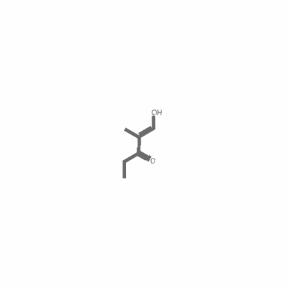 CCC(=O)/C(C)=C/O